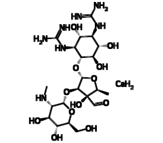 CN[C@@H]1[C@H](O[C@H]2[C@H](O[C@H]3[C@H](O)[C@@H](O)[C@H](NC(=N)N)[C@@H](O)[C@@H]3NC(=N)N)O[C@@H](C)[C@]2(O)C=O)O[C@@H](CO)[C@H](O)[C@H]1O.[CaH2]